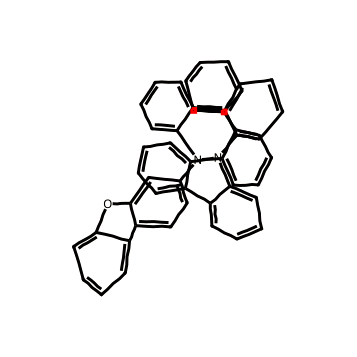 c1ccc(-c2ccccc2N(c2ccc3c(c2)oc2ccccc23)c2ccccc2-c2ccccc2-n2c3ccccc3c3ccccc32)cc1